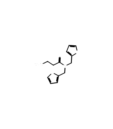 CNCCC(=O)N(Cc1cccs1)Cc1cccs1